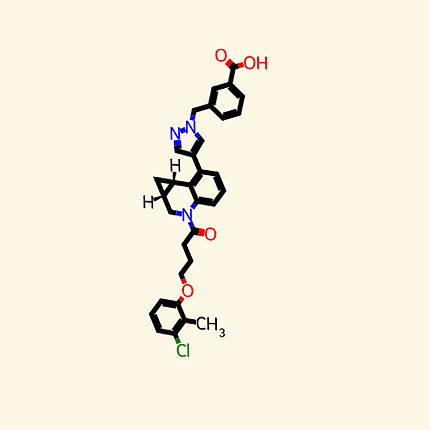 Cc1c(Cl)cccc1OCCCC(=O)N1C[C@@H]2C[C@@H]2c2c(-c3cnn(Cc4cccc(C(=O)O)c4)c3)cccc21